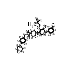 CC1(COc2c(N3CCN(S(=O)(=O)Cc4ccc(N5CCOCC5)cc4)CC3)cnn(-c3cccc(Cl)c3)c2=O)CC1